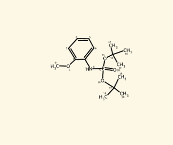 COc1ccccc1NP(=O)(OC(C)(C)C)OC(C)(C)C